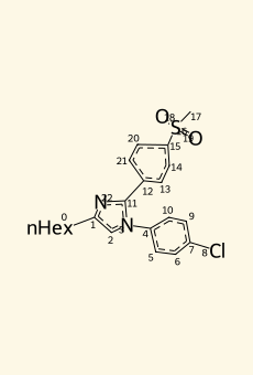 CCCCCCc1cn(-c2ccc(Cl)cc2)c(-c2ccc(S(C)(=O)=O)cc2)n1